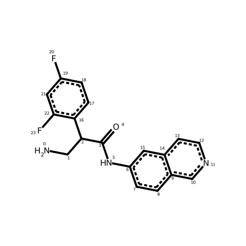 NCC(C(=O)Nc1ccc2cnccc2c1)c1ccc(F)cc1F